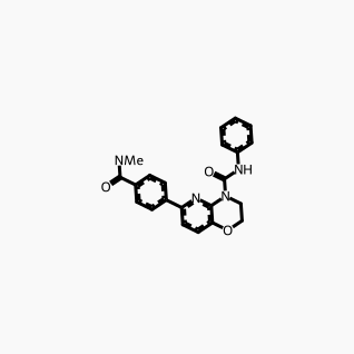 CNC(=O)c1ccc(-c2ccc3c(n2)N(C(=O)Nc2ccccc2)CCO3)cc1